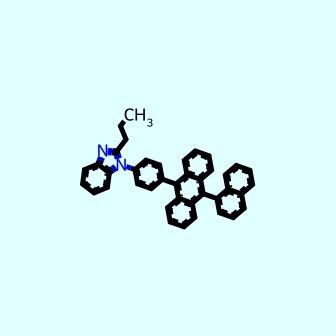 CCCc1nc2ccccc2n1-c1ccc(-c2c3ccccc3c(-c3cccc4ccccc34)c3ccccc23)cc1